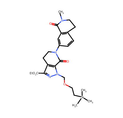 CCOC(=O)c1nn(COCC[Si](C)(C)C)c2c1CCN(c1ccc3c(c1)C(=O)N(C)CC3)C2=O